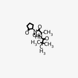 C[C@H](NC(=O)C(C)(C)C)C(=O)N(C)[C@@H]1CCCC1=O